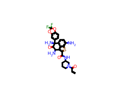 C=CC(=O)N1CCCC(NC(=O)c2sc3c(N)ccc4c3c2C(N)C(=O)C4(N)c2ccc3c(c2)OC(F)(F)O3)C1